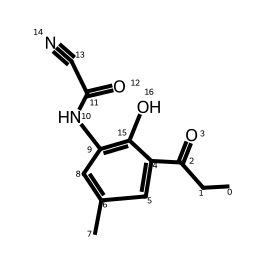 CCC(=O)c1cc(C)cc(NC(=O)C#N)c1O